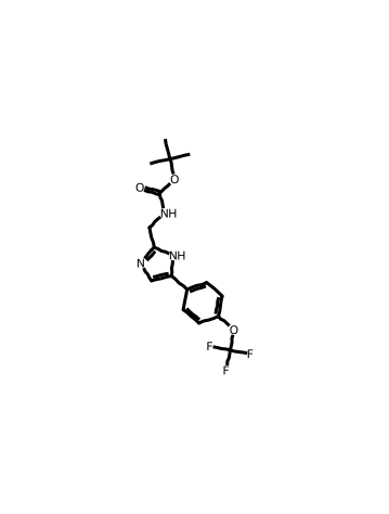 CC(C)(C)OC(=O)NCc1ncc(-c2ccc(OC(F)(F)F)cc2)[nH]1